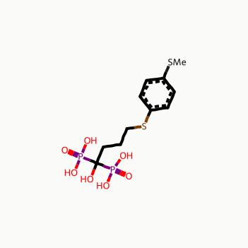 CSc1ccc(SCCCC(O)(P(=O)(O)O)P(=O)(O)O)cc1